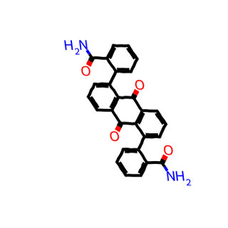 NC(=O)c1ccccc1-c1cccc2c1C(=O)c1cccc(-c3ccccc3C(N)=O)c1C2=O